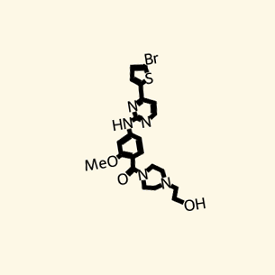 COc1cc(Nc2nccc(-c3ccc(Br)s3)n2)ccc1C(=O)N1CCN(CCO)CC1